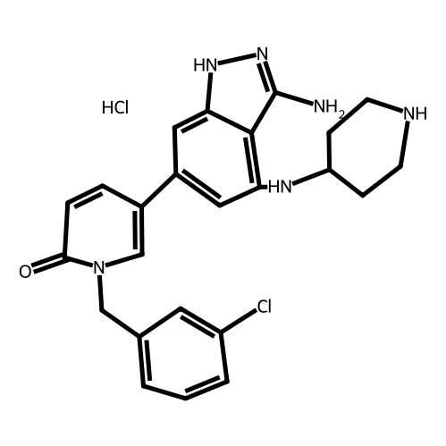 Cl.Nc1n[nH]c2cc(-c3ccc(=O)n(Cc4cccc(Cl)c4)c3)cc(NC3CCNCC3)c12